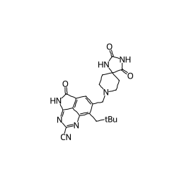 CC(C)(C)Cc1c(CN2CCC3(CC2)NC(=O)NC3=O)cc2c3c(nc(C#N)nc13)NC2=O